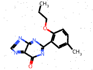 CCCOc1ccc(C)cc1C1=NC(=O)C2=NC=NC2=N1